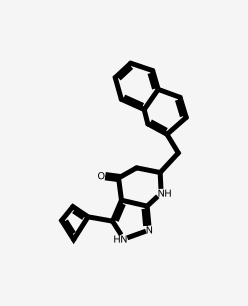 O=C1CC(Cc2ccc3ccccc3c2)Nc2n[nH]c(C3=CC=C3)c21